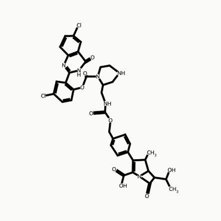 CC(O)C1C(=O)N2C(C(=O)O)=C(c3ccc(COC(=O)NCC4CNCCN4C(=O)Oc4ccc(Cl)cc4-c4nc5ccc(Cl)cc5c(=O)[nH]4)cc3)C(C)C12